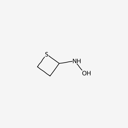 ONC1CCS1